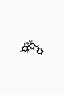 C[C@@H]1CN(Cc2ccccc2)C[C@H](C)[C@@]1(O)c1ccc(F)cc1